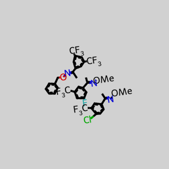 C/C(=N\OCc1ccccc1)c1cc(C(F)(F)F)cc(C(F)(F)F)c1.CO/N=C(\C)c1cc(F)cc(C(F)(F)F)c1.CO/N=C(\C)c1ccc(Cl)c(C(F)(F)F)c1